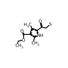 CCOC(=O)c1c(C)[nH]c(C(=O)C[S])c1C